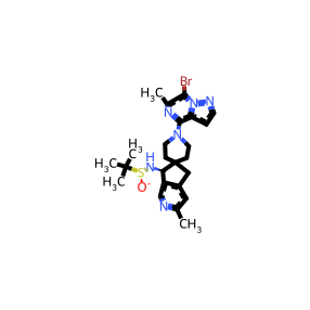 Cc1cc2c(cn1)[C@@H](N[S@+]([O-])C(C)(C)C)C1(CCN(c3nc(C)c(Br)n4nccc34)CC1)C2